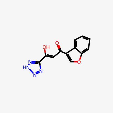 O=C(C=C(O)c1nn[nH]n1)c1coc2ccccc12